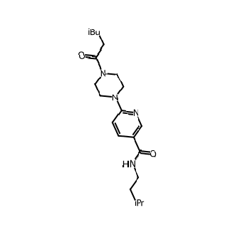 CCC(C)CC(=O)N1CCN(c2ccc(C(=O)NCCC(C)C)cn2)CC1